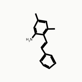 Cc1cc(C)c(C=Cc2ccccc2)c(N)c1